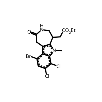 CCOC(=O)CC1CNC(=O)Cc2c1n(C)c1c(Cl)c(Cl)cc(Br)c21